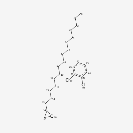 CCCCCCCCCCCCCCCCC1CO1.Clc1ccccc1Cl